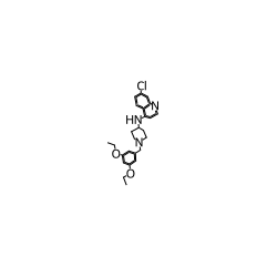 CCOc1cc(CN2CCC(Nc3ccnc4cc(Cl)ccc34)CC2)cc(OCC)c1